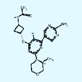 CC(=O)N[C@H]1C[C@H](Oc2nc(N3CCOC[C@@H]3C)nc(-c3cnc(N)nc3)c2F)C1